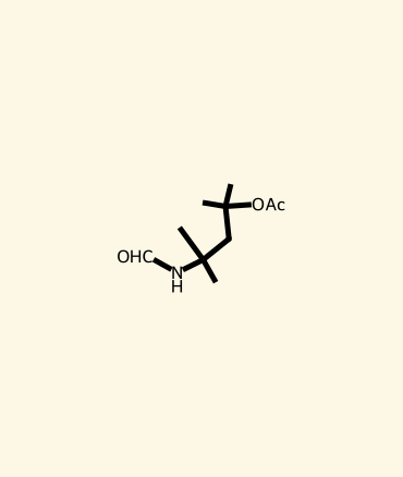 CC(=O)OC(C)(C)CC(C)(C)NC=O